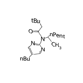 CCCCCC(C)N(C(=O)CC(C)(C)C)c1ncc(CCCC)cn1